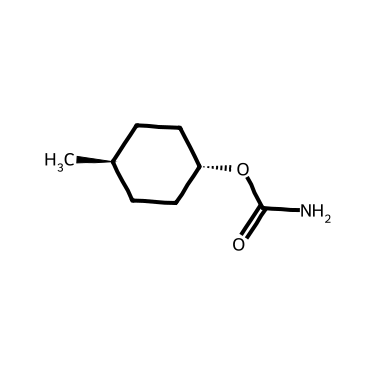 C[C@H]1CC[C@H](OC(N)=O)CC1